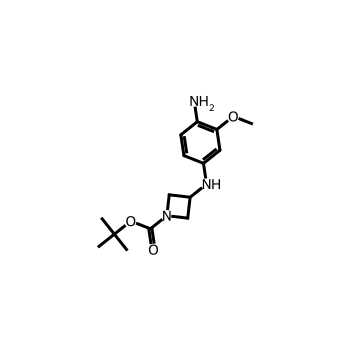 COc1cc(NC2CN(C(=O)OC(C)(C)C)C2)ccc1N